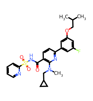 CC(C)COc1cc(F)cc(-c2ccc(C(=O)NS(=O)(=O)c3ccccn3)c(N(C)CC3CC3)n2)c1